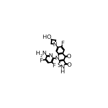 Nc1nc(-n2c3cc(N4CC(O)C4)c(F)cc3c(=O)c3c(=O)[nH]sc32)c(F)cc1F